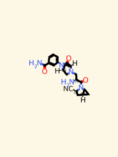 N#C[C@@H]1C[C@@H]2CC2N1C(=O)[C@@H](N)CN1C[C@@H]2C[C@H]1C(=O)N2c1cccc(C(N)=O)c1